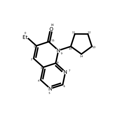 CCc1cc2cncnc2n(C2CCCC2)c1=O